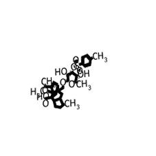 Cc1ccc(S(=O)(=O)O[C@H]2[C@H](O)[C@H](OCC34CC5C(C)CCC5C5(C=O)CC3C=C(C(C)C)C54C(=O)O)O[C@H](C)[C@H]2O)cc1